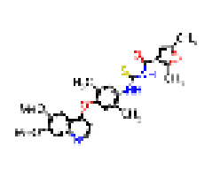 COc1cc2nccc(Oc3cc(C)c(NC(=S)NC(=O)c4cc(C)oc4C)cc3C)c2cc1OC